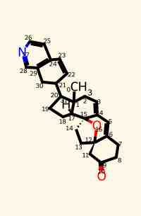 CC12CC=C3C=C4CCC(=O)C[C@]45CC[C@]3(O5)[C@@H]1CCC2C1C=Cc2ccncc2C1